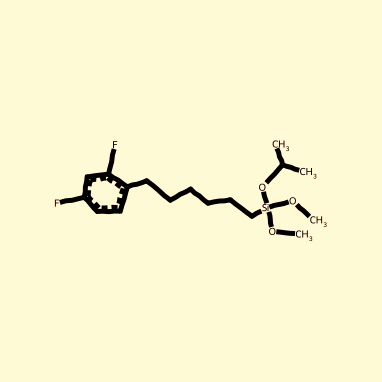 CO[Si](CCCCCCc1ccc(F)cc1F)(OC)OC(C)C